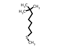 CSCCCCCC(C)(C)C